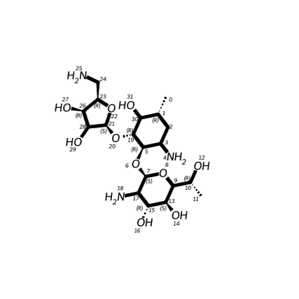 C[C@@H]1CC(N)[C@@H](O[C@H]2OC([C@@H](C)O)[C@@H](O)[C@H](O)C2N)[C@H](O[C@@H]2O[C@H](CN)[C@H](O)C2O)C1O